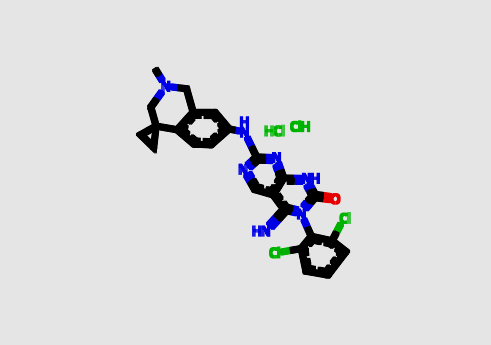 CN1Cc2cc(Nc3ncc4c(=N)n(-c5c(Cl)cccc5Cl)c(=O)[nH]c4n3)ccc2C2(CC2)C1.Cl.Cl